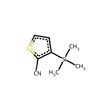 C[Si](C)(C)c1ccsc1C#N